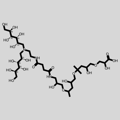 CC(CC(O)COC(C)(C)CC(O)COCC(O)C(=O)O)OCC(O)CNC(=O)CCC(=O)NCCN(C[C@H](O)[C@@H](O)[C@H](O)[C@H](O)CO)C[C@H](O)[C@@H](O)[C@H](O)[C@H](O)CO